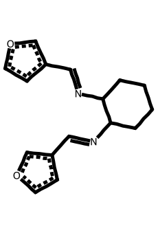 C(=NC1CCCCC1N=Cc1ccoc1)c1ccoc1